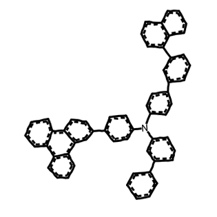 c1ccc(-c2cccc(N(c3ccc(-c4cccc(-c5cccc6ccccc56)c4)cc3)c3ccc(-c4ccc5c6ccccc6c6ccccc6c5c4)cc3)c2)cc1